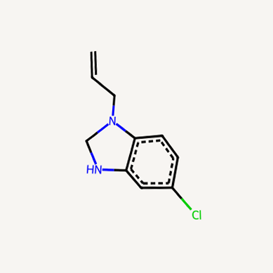 C=CCN1CNc2cc(Cl)ccc21